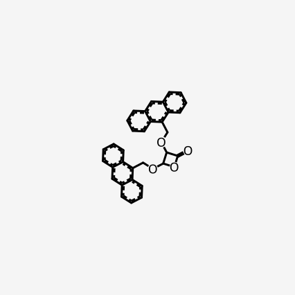 O=C1OC(OCc2c3ccccc3cc3ccccc23)C1OCc1c2ccccc2cc2ccccc12